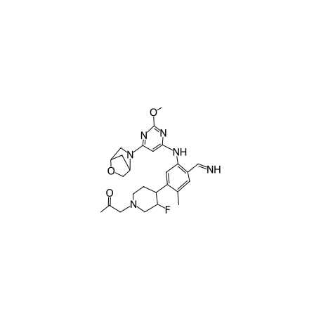 COc1nc(Nc2cc(C3CCN(CC(C)=O)CC3F)c(C)cc2C=N)cc(N2CC3CC2CO3)n1